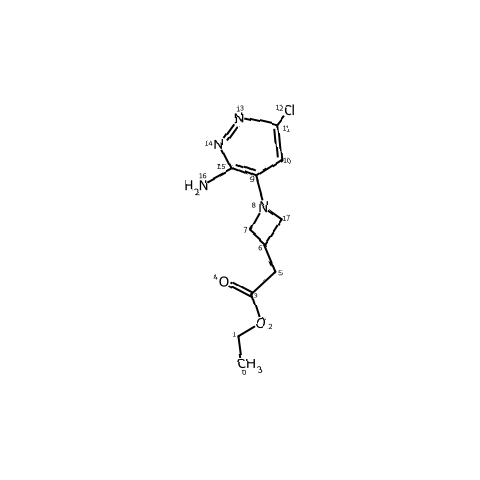 CCOC(=O)CC1CN(c2cc(Cl)nnc2N)C1